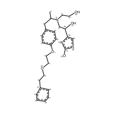 CC(Cc1ccc(OCCOCCc2ccccc2)cc1)N(CCO)CC(O)c1csc(Cl)n1